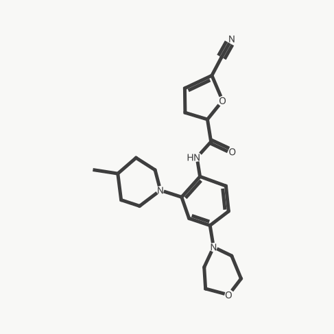 CC1CCN(c2cc(N3CCOCC3)ccc2NC(=O)C2CC=C(C#N)O2)CC1